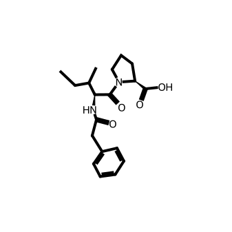 CCC(C)[C@H](NC(=O)Cc1ccccc1)C(=O)N1CCC[C@H]1C(=O)O